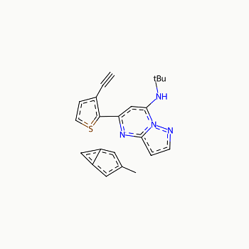 C#Cc1ccsc1-c1cc(NC(C)(C)C)n2nccc2n1.Cc1cc2cc-2c1